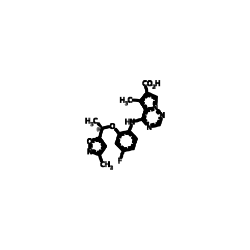 Cc1cc([C@@H](C)Oc2cc(F)ccc2Nc2ncnn3cc(C(=O)O)c(C)c23)on1